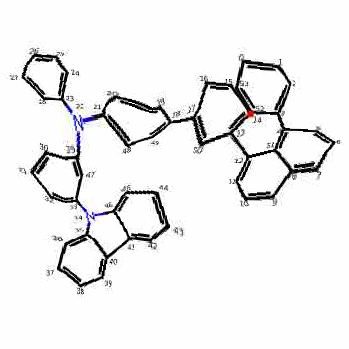 c1ccc(-c2cccc3cccc(-c4cccc(-c5ccc(N(c6ccccc6)c6cccc(-n7c8ccccc8c8ccccc87)c6)cc5)c4)c23)cc1